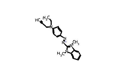 C#CCN(CC)c1ccc(/N=N/c2n(C)c3ccccc3[n+]2C)cc1